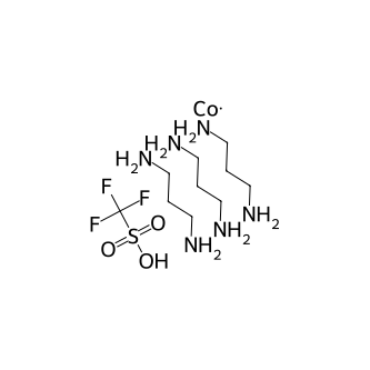 NCCCN.NCCCN.NCCCN.O=S(=O)(O)C(F)(F)F.[Co]